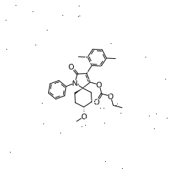 CCOC(=O)OC1=C(c2cc(C)ccc2C)C(=O)N(c2ccccc2)[C@]12CC[C@@H](OC)CC2